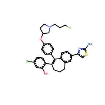 Nc1nc(-c2ccc3c(c2)CCCC(c2ccc(Cl)cc2O)=C3c2ccc(OC3CCN(CCCF)C3)cc2)cs1